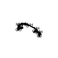 CC(=O)Nc1cc(NCCCCCCCNC(=O)CN2CCN(c3ccc(Nc4ncc5c(C)c(C(C)=O)c(=O)n(C6CCCC6)c5n4)nc3)CC2)ccc1C(=O)Nc1nc(C)c([N+](=O)[O-])s1